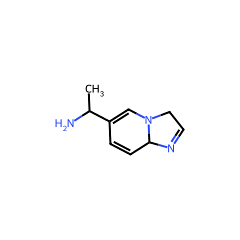 CC(N)C1=CN2CC=NC2C=C1